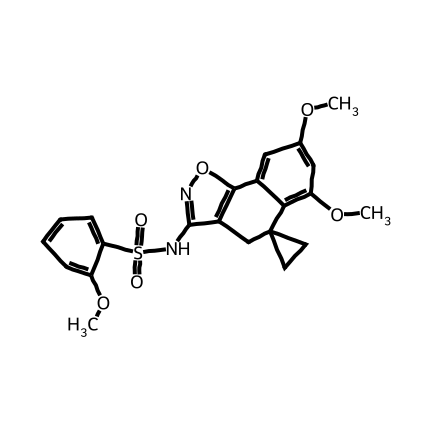 COc1cc(OC)c2c(c1)-c1onc(NS(=O)(=O)c3ccccc3OC)c1CC21CC1